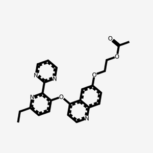 CCc1ccc(Oc2ccnc3ccc(OCCOC(C)=O)cc23)c(-c2ncccn2)n1